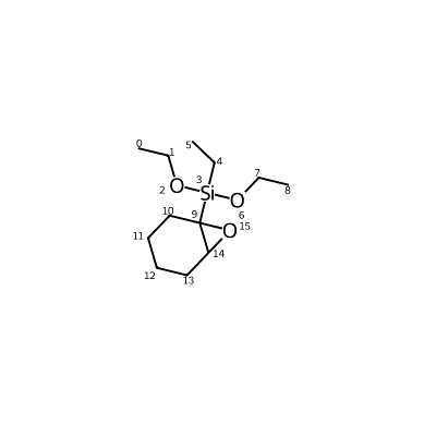 CCO[Si](CC)(OCC)C12CCCCC1O2